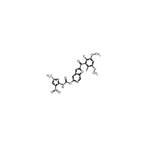 COc1cc(OC)c(F)c(C(=O)c2cc3cc(OC(=O)Nc4nn(C)cc4[N+](=O)[O-])ncc3o2)c1F